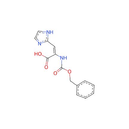 O=C(NC(=Cc1ncc[nH]1)C(=O)O)OCc1ccccc1